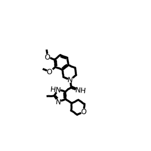 COc1ccc2c(c1OC)CN(C(=N)c1[nH]c(C)nc1C1CCOCC1)CC2